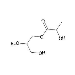 CC(=O)OC(CO)COC(=O)C(C)O